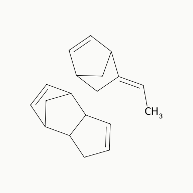 C1=CC2C3C=CC(C3)C2C1.CC=C1CC2C=CC1C2